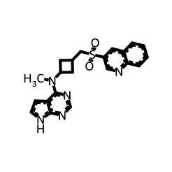 CN(c1ncnc2[nH]ccc12)C1CC(CS(=O)(=O)c2cnc3ccccc3c2)C1